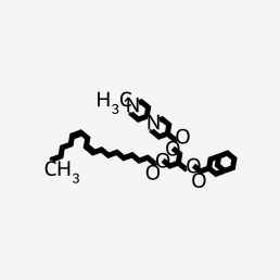 CCCCC/C=C\C/C=C\CCCCCCCC(=O)OCC(COC(=O)C1CCN(C2CCN(C)CC2)CC1)COC(=O)C1CC2CCCC(C2)C1